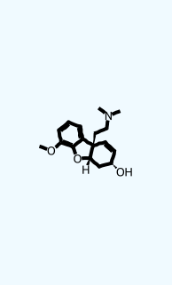 COc1cccc2c1O[C@H]1C[C@@H](O)C=C[C@@]21CCN(C)C